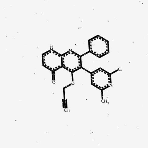 C#CCOc1c(-c2cc(C)nc(Cl)c2)c(-c2ccccc2)nc2[nH]ccc(=O)c12